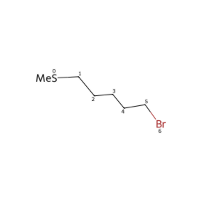 CSCCCCCBr